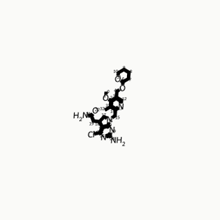 COc1c(COC2CCCCO2)cnc(CN2CC(CC(N)=O)c3c(Cl)nc(N)nc32)c1C